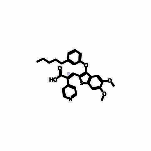 CCCCCc1cccc(Oc2c(/C=C(/C(=O)O)c3ccncc3)sc3cc(OC)c(OC)cc23)c1